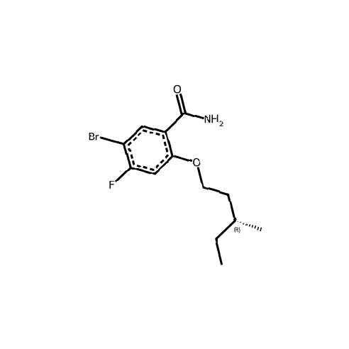 CC[C@@H](C)CCOc1cc(F)c(Br)cc1C(N)=O